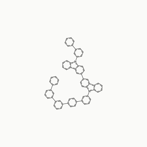 c1ccc(-c2cccc(-c3cccc(-c4ccc(-c5cccc(-n6c7ccccc7c7cc(-c8ccc9c(c8)c8ccccc8n9-c8cccc(-c9ccccc9)c8)ccc76)c5)cc4)c3)c2)cc1